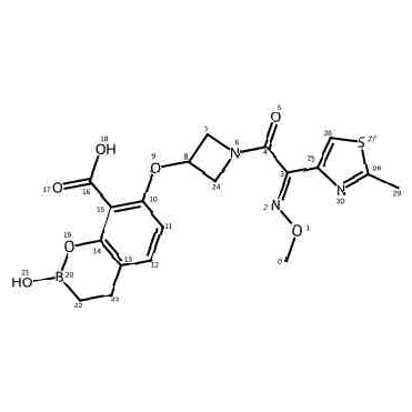 CON=C(C(=O)N1CC(Oc2ccc3c(c2C(=O)O)OB(O)CC3)C1)c1csc(C)n1